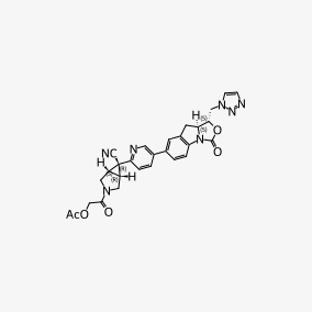 CC(=O)OCC(=O)N1C[C@@H]2[C@H](C1)[C@]2(C#N)c1ccc(-c2ccc3c(c2)C[C@H]2[C@H](Cn4ccnn4)OC(=O)N32)cn1